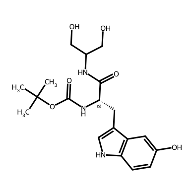 CC(C)(C)OC(=O)N[C@@H](Cc1c[nH]c2ccc(O)cc12)C(=O)NC(CO)CO